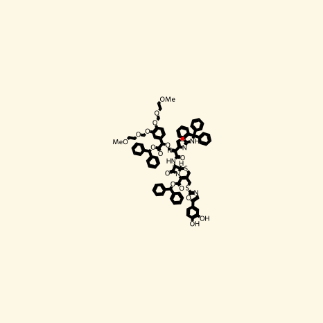 COCCOCOc1ccc(C(ON=C(C(=O)N[C@@H]2C(=O)N3C(C(=O)OC(c4ccccc4)c4ccccc4)=C(CSc4ncc(-c5ccc(O)c(O)c5)o4)CS[C@@H]23)c2csc(NC(c3ccccc3)(c3ccccc3)c3ccccc3)n2)C(=O)OC(c2ccccc2)c2ccccc2)cc1OCOCCOC